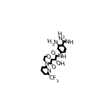 N=C(N)c1ccc(NC(=O)C(O)C2OCCN(c3cccc(C(F)(F)F)n3)C2=O)cc1N